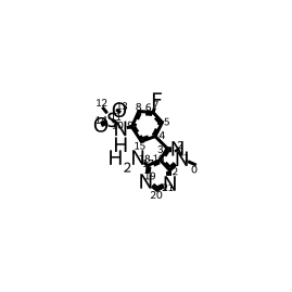 Cn1nc(-c2cc(F)cc(NS(C)(=O)=O)c2)c2c(N)ncnc21